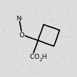 [N]OC1(C(=O)O)CCC1